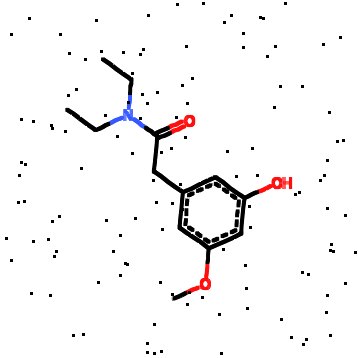 CCN(CC)C(=O)Cc1cc(O)cc(OC)c1